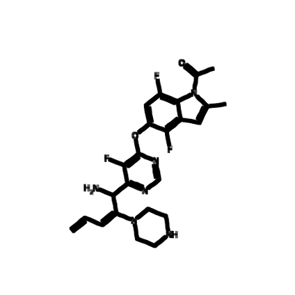 C=C/C=C(\C(N)c1ncnc(Oc2cc(F)c3c(cc(C)n3C(C)=O)c2F)c1F)N1CCNCC1